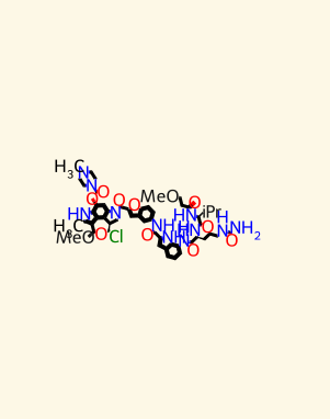 COCCC(=O)N[C@H](C(=O)N[C@@H](CCCNC(N)=O)C(=O)Nc1cccc2cc(C(=O)Nc3ccc4oc(C(=O)N5C[C@@H](CCl)c6c5cc(OC(=O)N5CCN(C)CC5)c5[nH]c(C)c(C(=O)OC)c65)cc4c3)[nH]c12)C(C)C